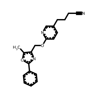 Cc1oc(-c2ccccc2)nc1COc1ccc(CCCC#N)cn1